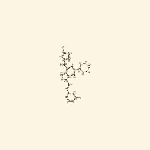 Cc1cccc(/C=N/n2cnc3c(Nc4cc(C)no4)nc(N4CCOCC4)nc32)c1